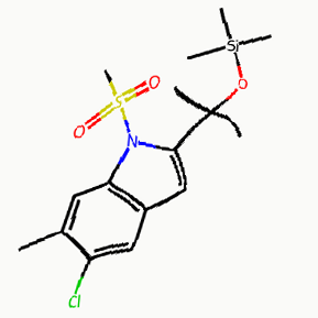 Cc1cc2c(cc1Cl)cc(C(C)(C)O[Si](C)(C)C)n2S(C)(=O)=O